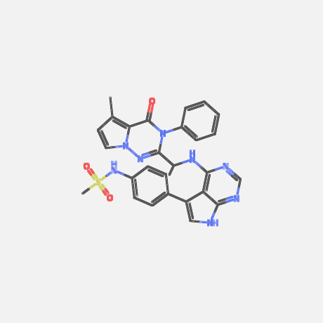 Cc1ccn2nc(C(C)Nc3ncnc4[nH]cc(-c5ccc(NS(C)(=O)=O)cc5)c34)n(-c3ccccc3)c(=O)c12